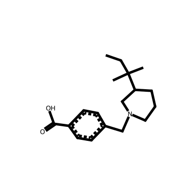 CCC(C)(C)C1CCCN(Cc2ccc(C(=O)O)cc2)C1